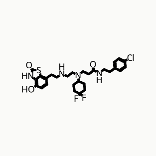 O=C(CCN(CCNCCc1ccc(O)c2[nH]c(=O)sc12)C1CCC(F)(F)CC1)NCCc1ccc(Cl)cc1